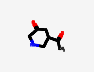 CC(=O)C1CNCC(=O)C1